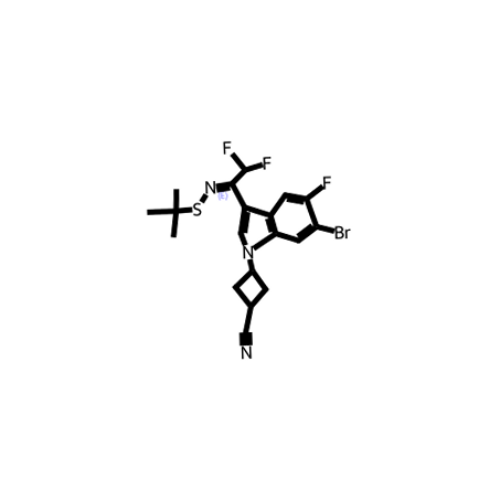 CC(C)(C)S/N=C(\c1cn(C2CC(C#N)C2)c2cc(Br)c(F)cc12)C(F)F